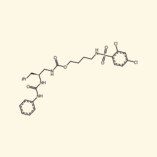 CC(C)C[C@@H](CNC(=O)OCCCCNS(=O)(=O)c1ccc(Cl)cc1Cl)NC(=O)Nc1ccccc1